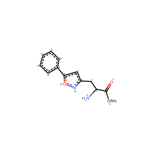 COC(=O)C(N)Cc1cc(-c2ccccc2)on1